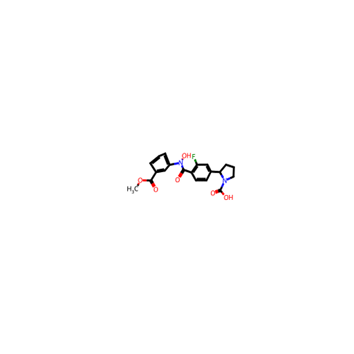 COC(=O)c1cccc(N(O)C(=O)c2ccc(C3CCCN3C(=O)O)cc2F)c1